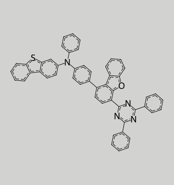 c1ccc(-c2nc(-c3ccccc3)nc(-c3ccc(-c4ccc(N(c5ccccc5)c5ccc6c(c5)sc5ccccc56)cc4)c4c3oc3ccccc34)n2)cc1